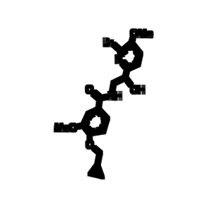 COc1cc(C(=O)NCC(O)c2ccc(OC)c(Br)n2)ccc1OCC1CC1